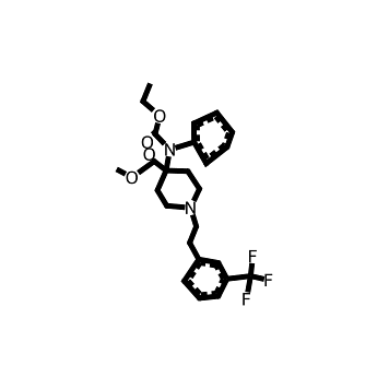 CCOC(=O)N(c1ccccc1)C1(C(=O)OC)CCN(CCc2cccc(C(F)(F)F)c2)CC1